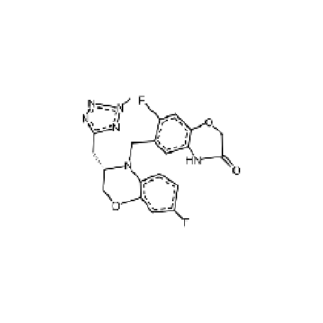 Cn1nnc(C[C@H]2COc3cc(F)ccc3N2Cc2cc3c(cc2F)OCC(=O)N3)n1